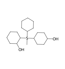 CS(C1CCCCC1)(C1CCC(O)CC1)C1CCCCC1O